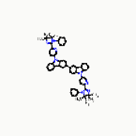 CC1(C)N=C(c2ccc(-n3c4ccccc4c4cc(-c5ccc6c(c5)c5ccccc5n6-c5ccc(C6=NC(C)(C)C(C)(C)N6c6ccccc6)nc5)ccc43)cn2)N(c2ccccc2)C1(C)C